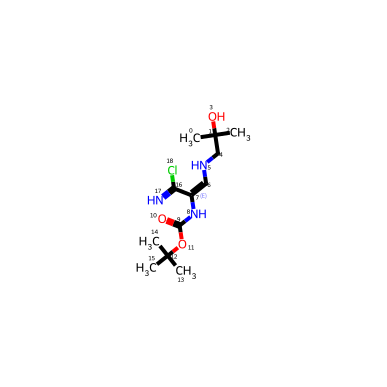 CC(C)(O)CN/C=C(/NC(=O)OC(C)(C)C)C(=N)Cl